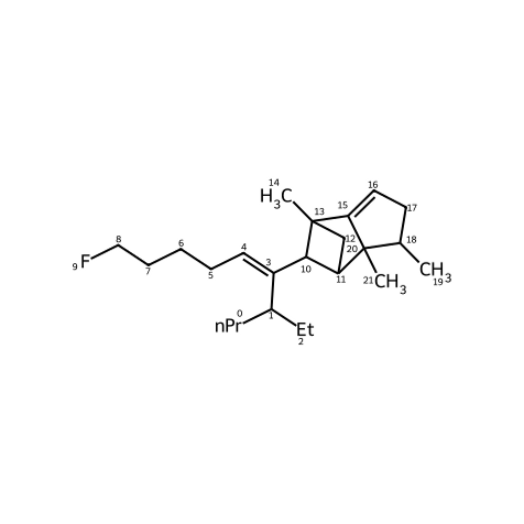 CCCC(CC)/C(=C\CCCCF)C1C2CC1(C)C1=CCC(C)C12C